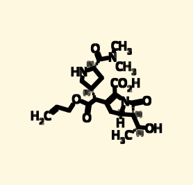 C=CCOC(=O)C(C1=C(C(=O)O)N2C(=O)[C@H]([C@@H](C)O)[C@H]2C1)[C@@H]1CN[C@H](C(=O)N(C)C)C1